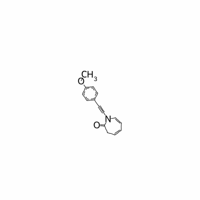 COc1ccc(C#CN2C=CC=CCC2=O)cc1